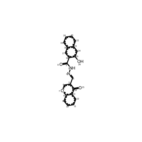 O=C(N/N=C/c1coc2ccccc2c1=O)c1cc2ccccc2cc1O